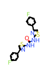 O=C(Nc1nc(-c2ccc(F)cc2)cs1)Nc1nc(-c2ccc(F)cc2)cs1